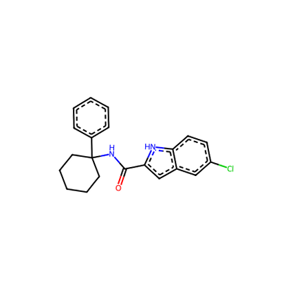 O=C(NC1(c2ccccc2)CCCCC1)c1cc2cc(Cl)ccc2[nH]1